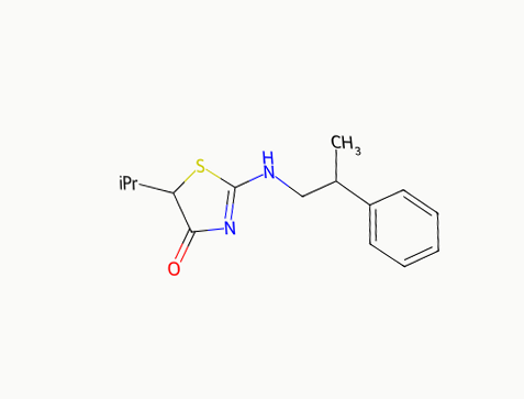 CC(CNC1=NC(=O)C(C(C)C)S1)c1ccccc1